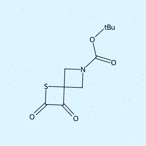 CC(C)(C)OC(=O)N1CC2(C1)SC(=O)C2=O